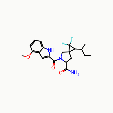 CCC(C)C1C(F)(F)C12CC(C(N)=O)N(C(=O)c1cc3c(OC)cccc3[nH]1)C2